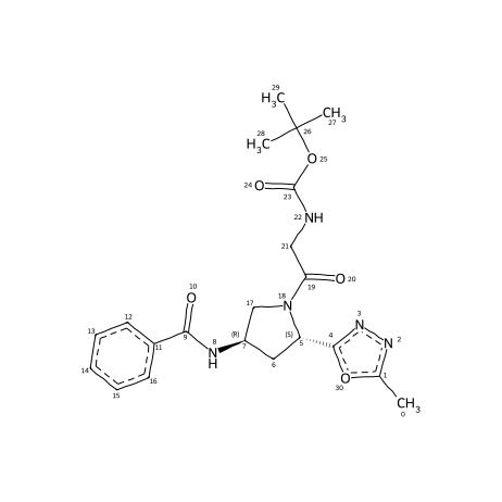 Cc1nnc([C@@H]2C[C@@H](NC(=O)c3ccccc3)CN2C(=O)CNC(=O)OC(C)(C)C)o1